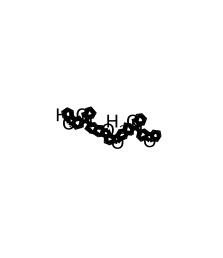 Cc1ccccc1N(c1ccc2cc3c(cc2c1)oc1c3ccc2oc3cc4cc(N(c5ccc6oc7ccccc7c6c5)c5ccccc5C)ccc4cc3c21)c1ccc2oc3ccccc3c2c1